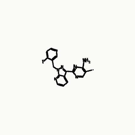 [CH2]c1cnc(-c2nn(Cc3ccccc3F)c3ncccc23)nc1N